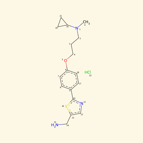 CN(CCCOc1ccc(-c2ncc(CN)s2)cc1)C1CC1.Cl